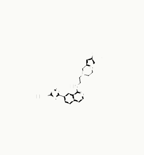 Cc1nc(-c2ccc3ccnc(NCCN4CCn5cc(C(=O)O)cc5C4)c3c2)no1